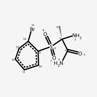 C[C@](N)(C(N)=O)S(=O)(=O)c1ccccc1Br